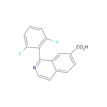 O=C(O)c1ccc2ccnc(-c3c(F)cccc3F)c2c1